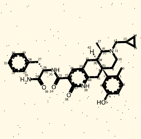 Cc1ccc(O)cc1[C@]12CCN(CC3CC3)[C@H](C)[C@@H]1Cc1cc(C(=O)N[C@@H](Cc3ccccc3)C(N)=O)c(=O)[nH]c1C2